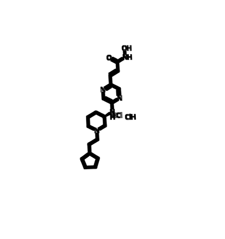 Cl.Cl.O=C(/C=C/c1cnc(N[C@@H]2CCCN(CCC3CCCC3)C2)cn1)NO